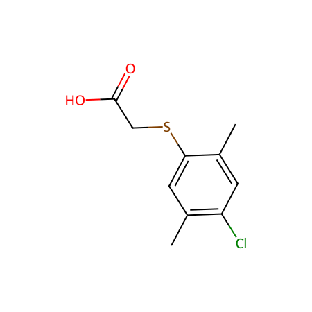 Cc1cc(SCC(=O)O)c(C)cc1Cl